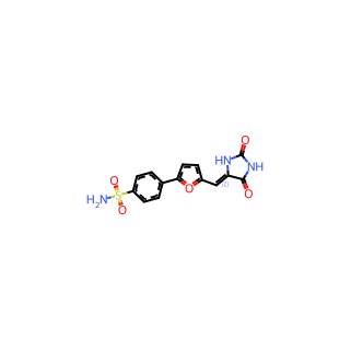 NS(=O)(=O)c1ccc(-c2ccc(/C=C3\NC(=O)NC3=O)o2)cc1